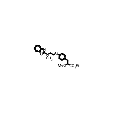 CCOC(=O)C(Cc1ccc(OCCN(C)c2nc3ccccc3o2)cc1)OC